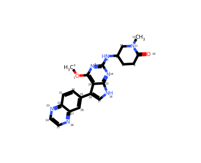 COc1nc(NC2CCC(=O)N(C)C2)nc2[nH]cc(-c3ccc4nccnc4c3)c12